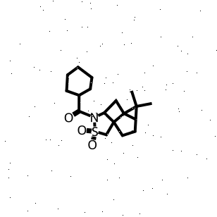 CC1(C)C2CCC34CS(=O)(=O)N(C(=O)C5CCCCC5)C3CC214